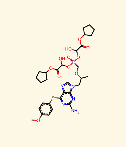 COc1ccc(Sc2nc(N)nc3c2ncn3CC(C)OCP(=O)(OC(O)C(=O)OC2CCCC2)OC(O)C(=O)OC2CCCC2)cc1